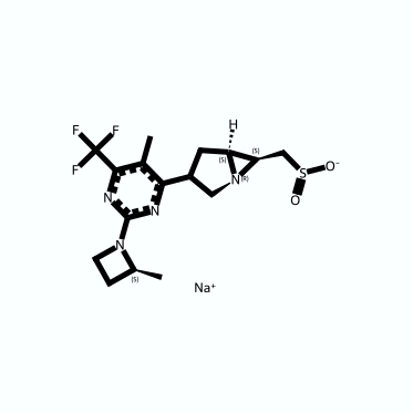 Cc1c(C2C[C@H]3[C@@H](CS(=O)[O-])[N@@]3C2)nc(N2CC[C@@H]2C)nc1C(F)(F)F.[Na+]